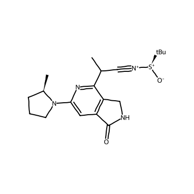 CC(C#[N+][S@+]([O-])C(C)(C)C)c1nc(N2CCC[C@H]2C)cc2c1CNC2=O